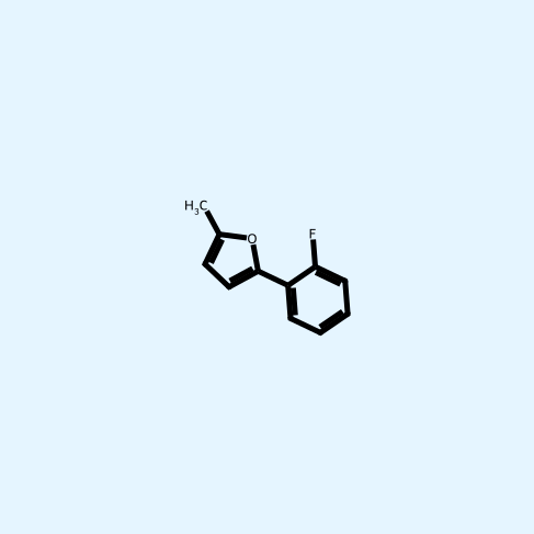 Cc1ccc(-c2ccccc2F)o1